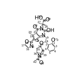 COc1ccccc1C(CN1c2sc(-c3ncco3)c(C)c2C(=O)N(C(C)(C)C(=O)O)C1O)OC1CC2CC1CN2C(C)=O